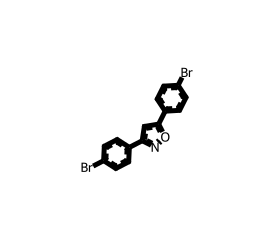 Brc1ccc(-c2cc(-c3ccc(Br)cc3)on2)cc1